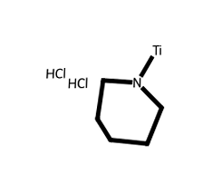 Cl.Cl.[Ti][N]1CCCCC1